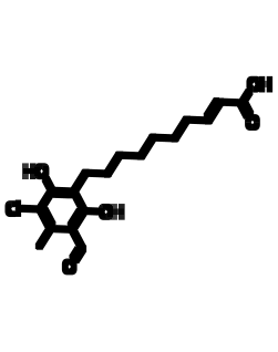 Cc1c(Cl)c(O)c(CCCCCCCC=CC(=O)O)c(O)c1C=O